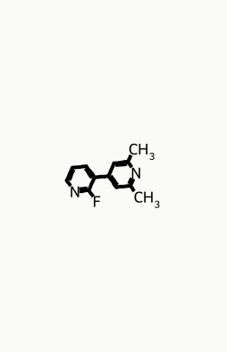 Cc1cc(-c2cccnc2F)cc(C)n1